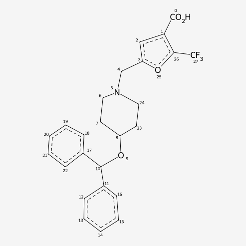 O=C(O)c1cc(CN2CCC(OC(c3ccccc3)c3ccccc3)CC2)oc1C(F)(F)F